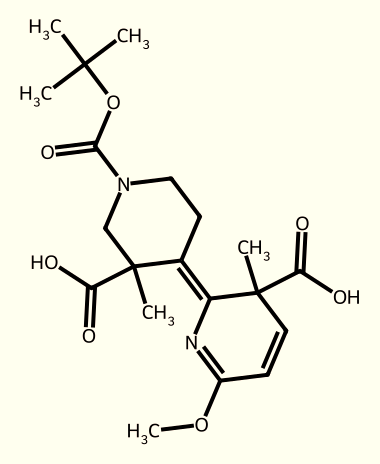 COC1=NC(=C2CCN(C(=O)OC(C)(C)C)CC2(C)C(=O)O)C(C)(C(=O)O)C=C1